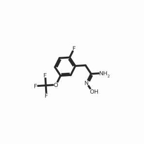 NC(Cc1cc(OC(F)(F)F)ccc1F)=NO